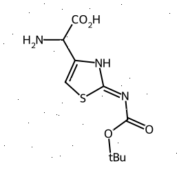 CC(C)(C)OC(=O)N=c1[nH]c(C(N)C(=O)O)cs1